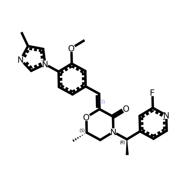 COc1cc(/C=C2\O[C@@H](C)CN([C@H](C)c3ccnc(F)c3)C2=O)ccc1-n1cnc(C)c1